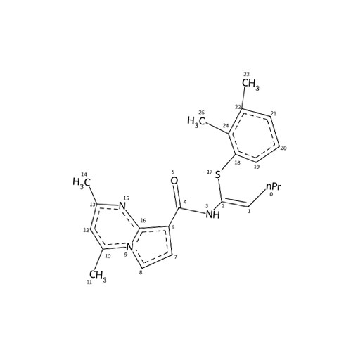 CCC/C=C(/NC(=O)c1ccn2c(C)cc(C)nc12)Sc1cccc(C)c1C